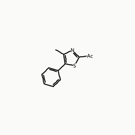 CC(=O)c1nc(C)c(-c2ccccc2)s1